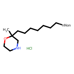 CCCCCCCCCCCCCCCCC1(C)CNCCO1.Cl